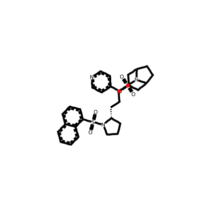 O=S(=O)(CCC[C@@H]1CCCN1S(=O)(=O)c1cccc2ccccc12)N1C2CCC1CC(Oc1ccncc1)C2